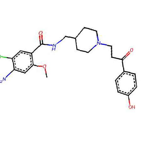 COc1cc(N)c(Cl)cc1C(=O)NCC1CCN(CCC(=O)c2ccc(O)cc2)CC1